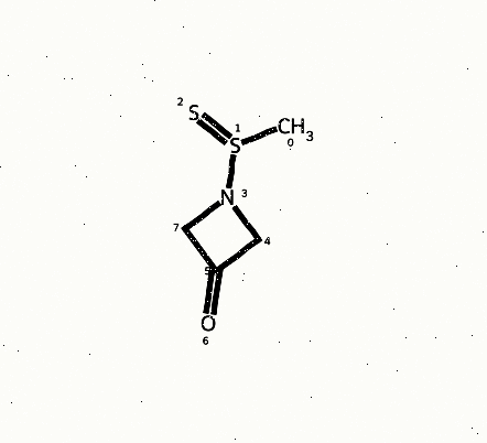 CS(=S)N1CC(=O)C1